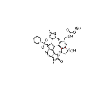 Cn1cc(-c2c(-c3cccc(CNC(=O)OC(C)(C)C)c3)c3c(ncc4c3n([C@@H]3CC[C@@H](O)C3)c(=O)n4C)n2S(=O)(=O)c2ccccc2)c(F)n1